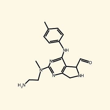 Cc1ccc(Nc2nc(N(C)CCN)nc3c2C(C=O)NC3)cc1